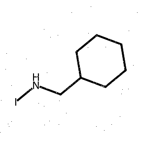 INCC1CCCCC1